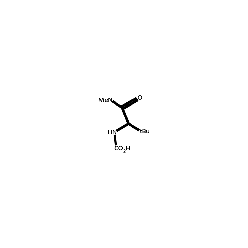 CNC(=O)C(NC(=O)O)C(C)(C)C